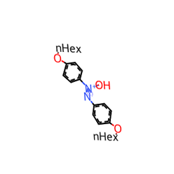 CCCCCCOc1ccc(/N=[N+](\O)c2ccc(OCCCCCC)cc2)cc1